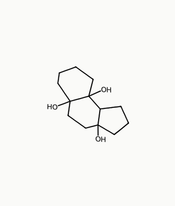 OC12CCCC1C1(O)CCCCC1(O)CC2